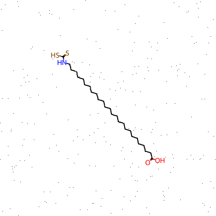 O=C(O)CCCCCCCCCCCCCCCCCCCCCCCCCNC(=S)S